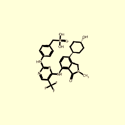 CN1Cc2c(c(Nc3nc(Nc4ccc(CP(=O)(O)O)cc4)ncc3C(F)(F)F)ccc2[C@H]2CC[C@H](O)CC2)C1=O